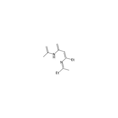 C=C(C)NC(=C)/C=C(CC)\N=C(/C)CC